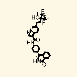 O=C(N[C@H]1CC[C@H](c2n[nH]c(=O)c3ccccc32)CC1)c1cnn2cc(CCC(O)(C(F)(F)F)C(F)(F)F)ccc12